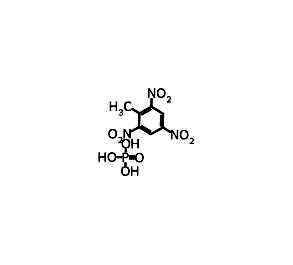 Cc1c([N+](=O)[O-])cc([N+](=O)[O-])cc1[N+](=O)[O-].O=P(O)(O)O